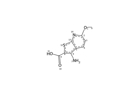 COc1ccc2c(N)c(C(=O)O)sc2n1